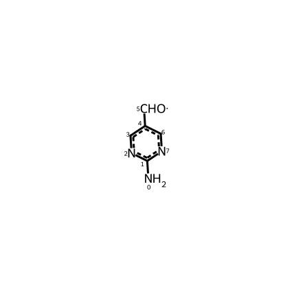 Nc1ncc([C]=O)cn1